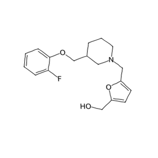 OCc1ccc(CN2CCCC(COc3ccccc3F)C2)o1